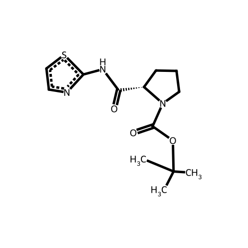 CC(C)(C)OC(=O)N1CCC[C@H]1C(=O)Nc1nccs1